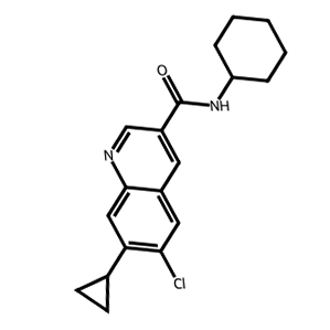 O=C(NC1CCCCC1)c1cnc2cc(C3CC3)c(Cl)cc2c1